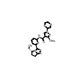 COc1nn(-c2cnccn2)cc1C(=O)Nc1cccc(-c2nnc3n2[C@@H](CC#N)CC3)n1